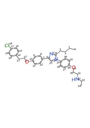 CCCCc1nc(-c2ccc(OCCc3ccc(Cl)cc3)cc2)cn1-c1ccc(OCCNCC)cc1